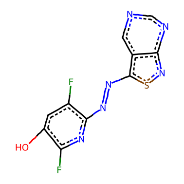 Oc1cc(F)c(/N=N/c2snc3ncncc23)nc1F